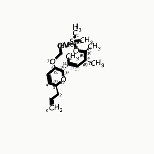 C=CC[C@H]1C=C[C@H](OCOC)[C@H](/C(C)=C/[C@@H](C)[C@@H](C)O[Si](C)(C)C(C)(C)C)O1